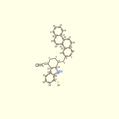 O=CC1CCC(Cc2ccc3ccc4c5ccccc5ccc4c3c2)c2[nH]c3c(F)cccc3c21